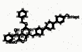 CCCCCCCOc1ccc(-c2cnc(-c3ccc(C[C@H](NC(=O)OCc4ccccc4)C(=O)NC(C(=O)OC)[C@@H](O)c4ccccc4)cc3)nc2)cc1